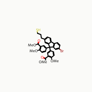 COC(=O)c1cc(C2(c3ccc(OC)c(C(=O)OC)c3)c3cc(Br)ccc3-c3ccc(CCCS)cc32)ccc1OC